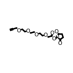 C#CCOCCOCCOCCOCC(=O)ON1C(=O)CCC1=O